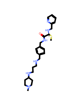 CS[C@H](NCc1ccccn1)C(=O)NCc1ccc(CNCCCNC2CCN(C)CC2)cc1